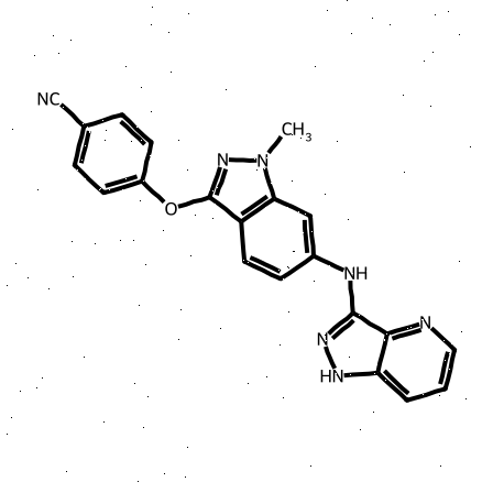 Cn1nc(Oc2ccc(C#N)cc2)c2ccc(Nc3n[nH]c4cccnc34)cc21